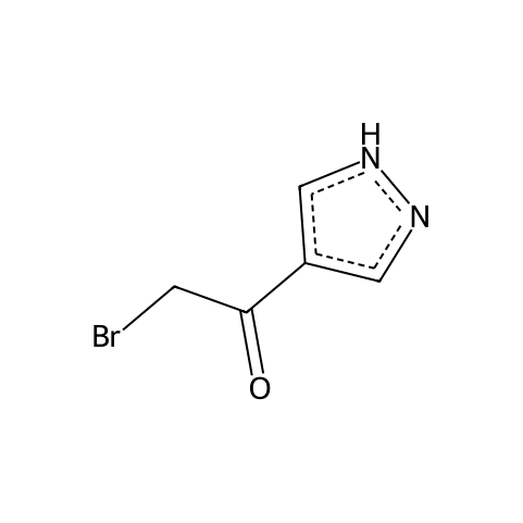 O=C(CBr)c1cn[nH]c1